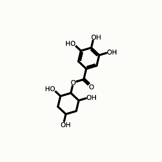 O=C(OC1C(O)CC(O)CC1O)c1cc(O)c(O)c(O)c1